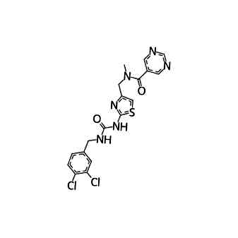 CN(Cc1csc(NC(=O)NCc2ccc(Cl)c(Cl)c2)n1)C(=O)c1cncnc1